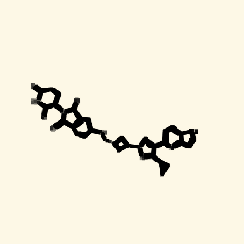 O=C1CCC(N2C(=O)c3ccc(NC[C@H]4C[C@H](n5cc(-c6ccc7[nH]ccc7n6)c(C6CC6)n5)C4)cc3C2=O)C(=O)N1